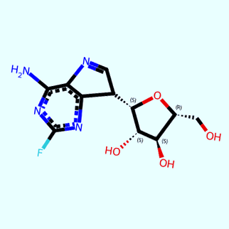 Nc1nc(F)nc2c1N=CC2[C@@H]1O[C@H](CO)[C@@H](O)[C@@H]1O